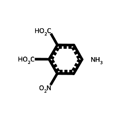 N.O=C(O)c1cccc([N+](=O)[O-])c1C(=O)O